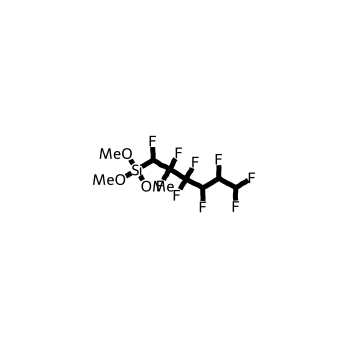 CO[Si](OC)(OC)C(F)C(F)(F)C(F)(F)C(F)C(F)C(F)F